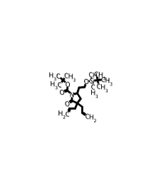 C=CCC1(CC=C)CC(CCO[Si](C)(C)C(C)(C)C)N(C(=O)OC(C)(C)C)C1=O